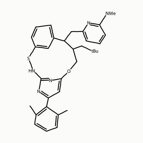 CNc1cccc(CC2c3cccc(c3)SNc3nc(cc(-c4c(C)cccc4C)n3)OCC2CC(C)(C)C)n1